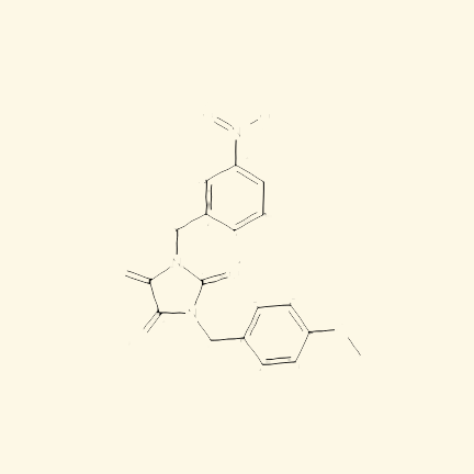 COc1ccc(CN2C(=O)C(=O)N(Cc3cccc([N+](=O)[O-])c3)C2=O)cc1